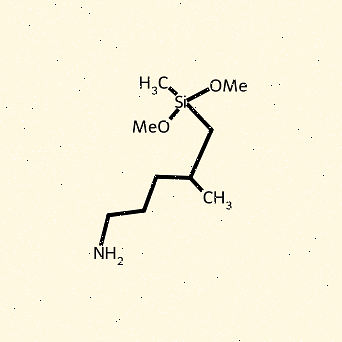 CO[Si](C)(CC(C)CCCN)OC